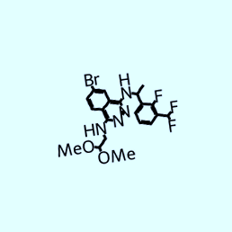 COC(CNc1nnc(NC(C)c2cccc(C(F)F)c2F)c2cc(Br)ccc12)OC